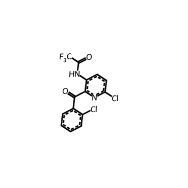 O=C(c1ccccc1Cl)c1nc(Cl)ccc1NC(=O)C(F)(F)F